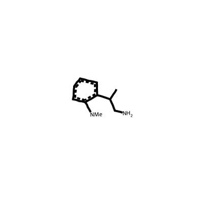 CNc1ccccc1C(C)CN